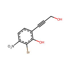 O=[N+]([O-])c1ccc(C#CCO)c(O)c1Br